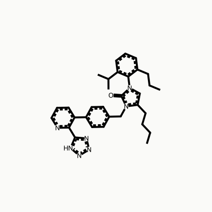 CCCCc1cn(-c2c(CCC)cccc2C(C)C)c(=O)n1Cc1ccc(-c2cccnc2-c2nnn[nH]2)cc1